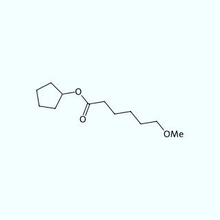 COCCCCCC(=O)OC1CCCC1